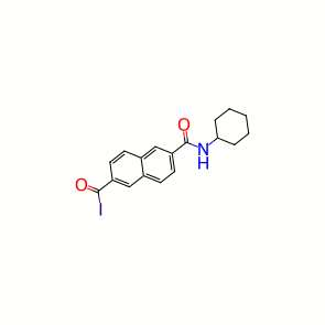 O=C(I)c1ccc2cc(C(=O)NC3CCCCC3)ccc2c1